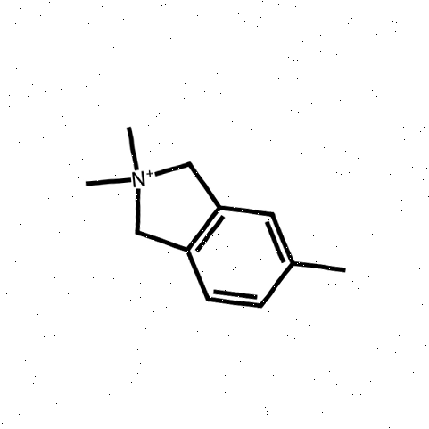 Cc1ccc2c(c1)C[N+](C)(C)C2